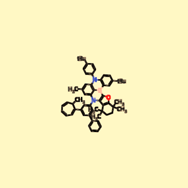 Cc1cc2c3c(c1)N(c1cc(C4=CC=CC=CC4C)cc(-c4ccccc4)c1)c1c(oc4c1C(C)(C)CCC4(C)C)B3c1cc(C(C)(C)C)ccc1N2c1ccc(C(C)(C)C)cc1